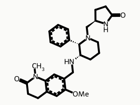 COc1cc2c(cc1CN[C@H]1CCCN(C[C@H]3CCC(=O)N3)[C@H]1c1ccccc1)N(C)C(=O)CC2